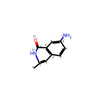 Cc1cc2ccc(N)cc2c(=O)[nH]1